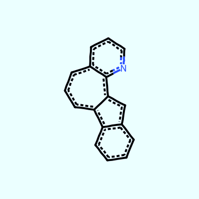 c1ccc2c3cccc4cccnc4c-3cc2c1